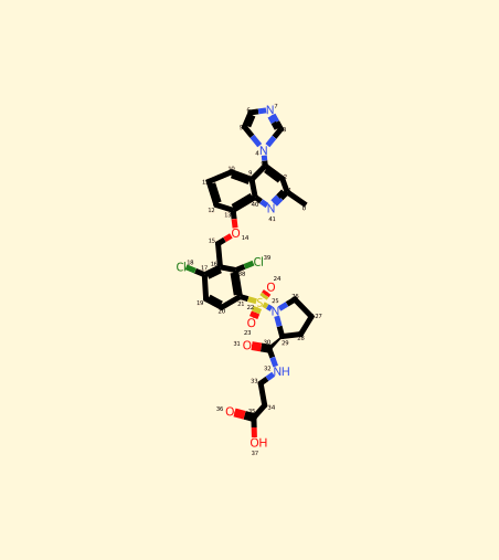 Cc1cc(-n2ccnc2)c2cccc(OCc3c(Cl)ccc(S(=O)(=O)N4CCC[C@H]4C(=O)NCCC(=O)O)c3Cl)c2n1